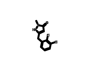 Cn1[nH]c(Cc2cccc(Cl)c2Cl)cc1=O